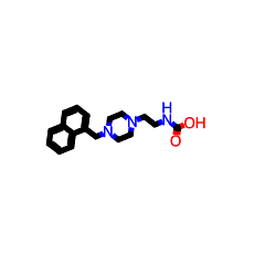 O=C(O)NCCN1CCN(Cc2cccc3ccccc23)CC1